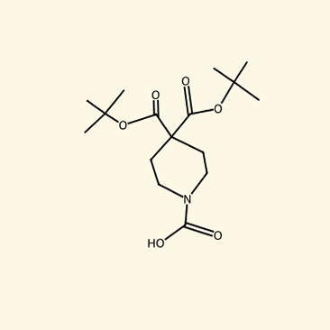 CC(C)(C)OC(=O)C1(C(=O)OC(C)(C)C)CCN(C(=O)O)CC1